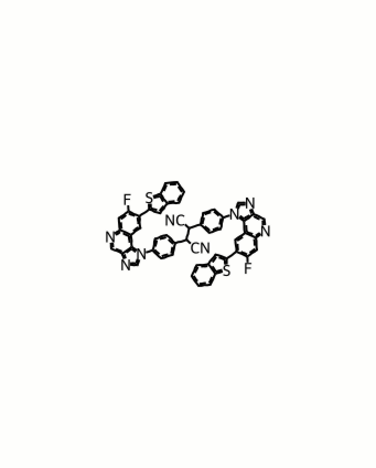 N#CC(c1ccc(-n2cnc3cnc4cc(F)c(-c5cc6ccccc6s5)cc4c32)cc1)C(C#N)c1ccc(-n2cnc3cnc4cc(F)c(-c5cc6ccccc6s5)cc4c32)cc1